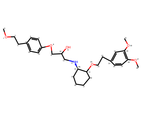 COCCc1ccc(OCC(O)CN[C@@H]2CCCCC2OCCc2ccc(OC)c(OC)c2)cc1